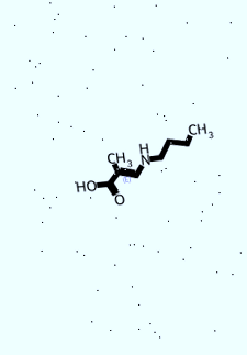 CCCCN/C=C(\C)C(=O)O